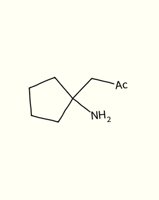 CC(=O)CC1(N)CCCC1